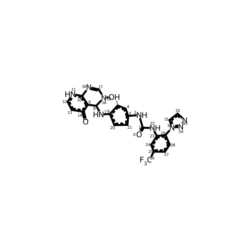 O=C(Nc1ccc(NC2c3c([nH]ccc3=O)N=CN2O)cc1)Nc1cc(C(F)(F)F)ccc1-n1ccnn1